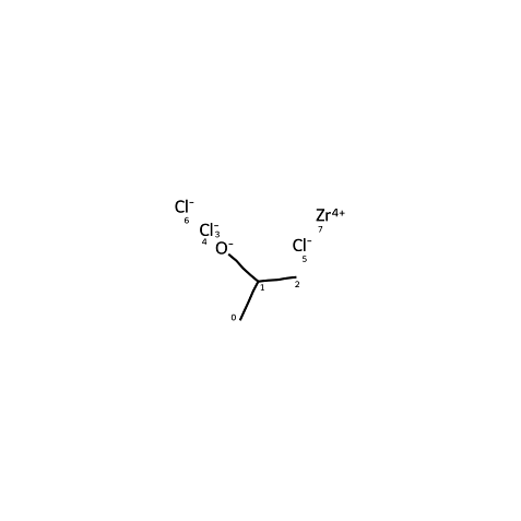 CC(C)[O-].[Cl-].[Cl-].[Cl-].[Zr+4]